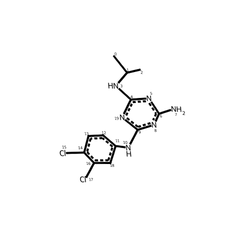 CC(C)Nc1nc(N)nc(Nc2ccc(Cl)c(Cl)c2)n1